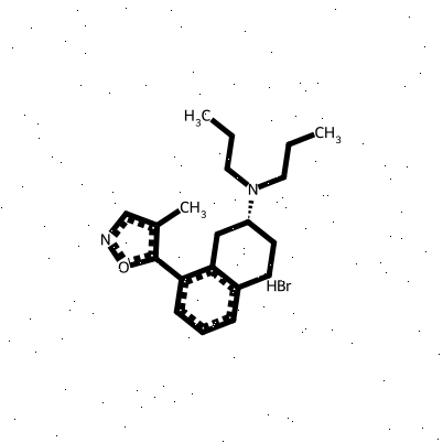 Br.CCCN(CCC)[C@@H]1CCc2cccc(-c3oncc3C)c2C1